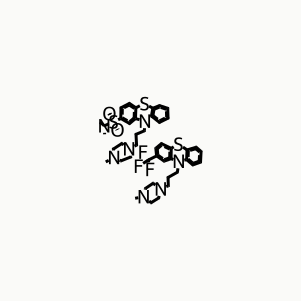 CN1CCN(CCCN2c3ccccc3Sc3ccc(C(F)(F)F)cc32)CC1.CN1CCN(CCCN2c3ccccc3Sc3ccc(S(=O)(=O)N(C)C)cc32)CC1